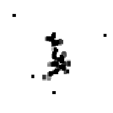 C=C(C)C(=O)OCCn1c(=O)[nH]c(=O)n(CCO)c1=O